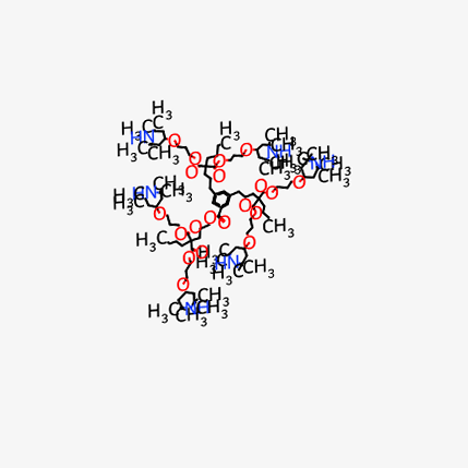 CCCCC(CCCOC(=O)c1cc(CCCC(CCCC)(C(=O)OCCCOC2CC(C)(C)NC(C)(C)C2)C(=O)OCCCOC2CC(C)(C)NC(C)(C)C2)cc(CCCC(CCCC)(C(=O)OCCCOC2CC(C)(C)NC(C)(C)C2)C(=O)OCCCOC2CC(C)(C)NC(C)(C)C2)c1)(C(=O)OCCCOC1CC(C)(C)NC(C)(C)C1)C(=O)OCCCOC1CC(C)(C)NC(C)(C)C1